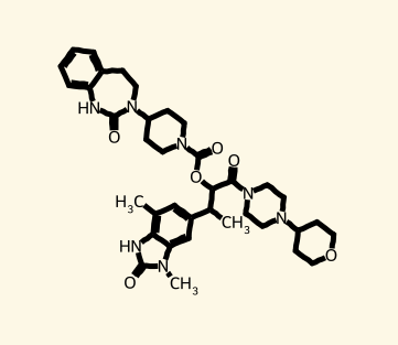 Cc1cc(C(C)C(OC(=O)N2CCC(N3CCc4ccccc4NC3=O)CC2)C(=O)N2CCN(C3CCOCC3)CC2)cc2c1[nH]c(=O)n2C